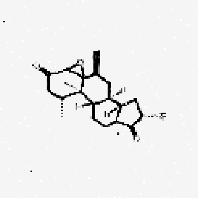 C=C1C[C@@H]2[C@H](CC[C@]3(C)C(=O)[C@@H](F)C[C@@H]23)[C@@]2(C)[C@H](C)CC(=O)C3OC132